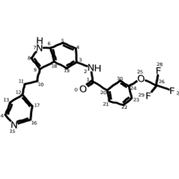 O=C(Nc1ccc2[nH]cc(CCc3ccncc3)c2c1)c1cccc(OC(F)(F)F)c1